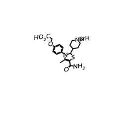 Br.CC1=C(C(N)=O)SC(C2CCNCC2)N1c1ccc(OCC(=O)O)cc1